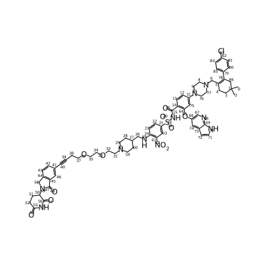 CC1(C)CCC(CN2CCN(c3ccc(C(=O)NS(=O)(=O)c4ccc(NCC5CCN(CCOCCOCCC#Cc6ccc7c(c6)C(=O)N(C6CCC(=O)NC6=O)C7)CC5)c([N+](=O)[O-])c4)c(Oc4cnc5[nH]ccc5c4)c3)CC2)=C(c2ccc(Cl)cc2)C1